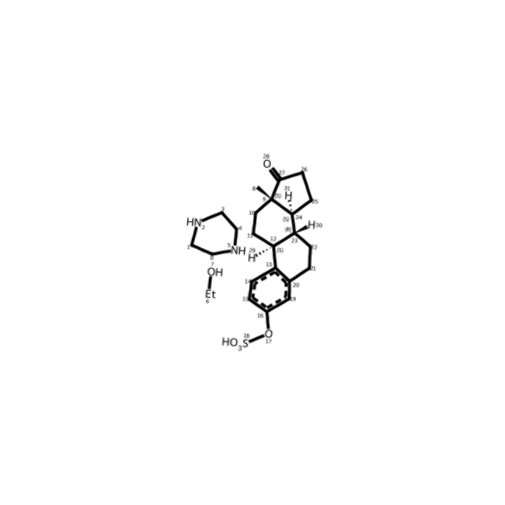 C1CNCCN1.CCO.C[C@]12CC[C@@H]3c4ccc(OS(=O)(=O)O)cc4CC[C@H]3[C@@H]1CCC2=O